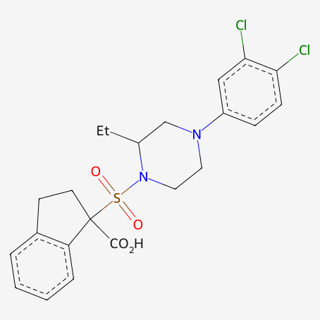 CCC1CN(c2ccc(Cl)c(Cl)c2)CCN1S(=O)(=O)C1(C(=O)O)CCc2ccccc21